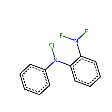 FN(F)c1ccccc1N(Cl)c1ccccc1